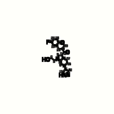 O=C(c1cn(CCO)c2cc(-c3cn[nH]c3)ccc12)C1COc2ccc(F)cc2C1